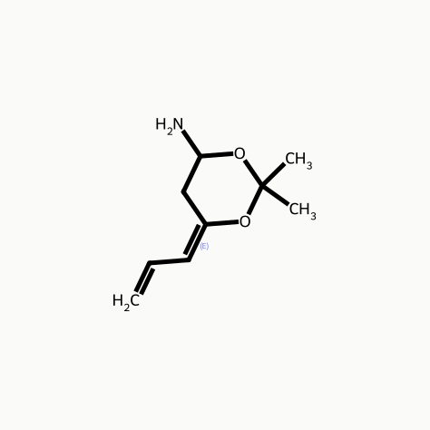 C=C/C=C1\CC(N)OC(C)(C)O1